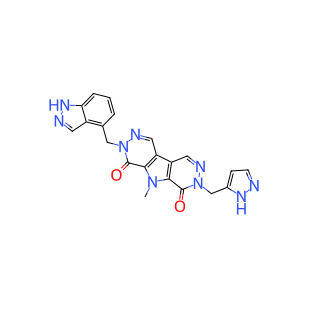 Cn1c2c(=O)n(Cc3ccn[nH]3)ncc2c2cnn(Cc3cccc4[nH]ncc34)c(=O)c21